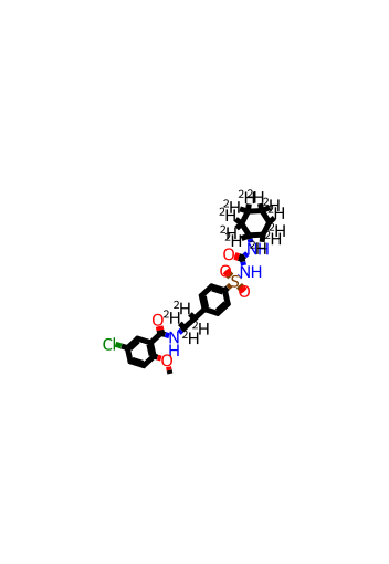 [2H]C([2H])(NC(=O)c1cc(Cl)ccc1OC)C([2H])([2H])c1ccc(S(=O)(=O)NC(=O)NC2([2H])C([2H])([2H])C([2H])([2H])C([2H])([2H])C([2H])([2H])C2([2H])[2H])cc1